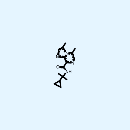 Cc1cnc(C(=O)NC(C)(C)C2CC2)c2ncc(C)n12